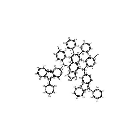 Cc1ccc(N(c2ccc3c(c2)c2ccccc2n3-c2ccccc2)c2c3nsnc3c(N(c3ccc(C)cc3)c3ccc4c(c3)c3ccccc3n4-c3ccccc3)c3nc(-c4ccccc4)c(-c4ccccc4)nc23)cc1